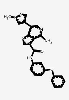 Cn1cc(-c2cnc(N)c3c(C(=O)Nc4cccc(Oc5ccccc5)c4)csc23)cn1